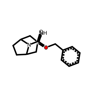 N=S1(=O)CC2CCC(C1)N2C(=O)OCc1ccccc1